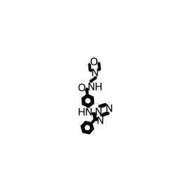 O=C(NCCN1CCOCC1)c1ccc(Nc2c(-c3ccccc3)nc3cnccn23)cc1